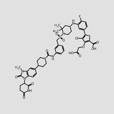 Cn1c(=O)n(C2CCC(=O)NC2=O)c2ccc(C3CCN(C(=O)Nc4cccc(CS(=O)(=O)N5CC[C@H](Nc6cc(-c7sc(C(=O)O)c(OCC(=O)O)c7Cl)ccc6F)CC5(C)C)c4)CC3)cc21